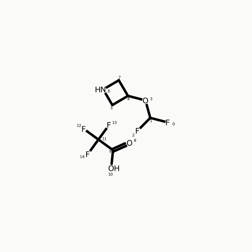 FC(F)OC1CNC1.O=C(O)C(F)(F)F